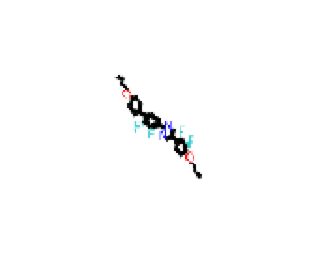 C=CCCCOc1ccc(-c2cnc(-c3ccc(C4CCC(OCCC=C)CC4)c(F)c3F)nc2)c(F)c1F